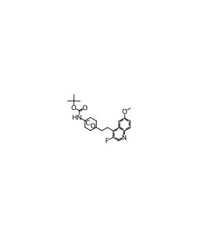 COc1ccc2ncc(F)c(CCC34CCC(NC(=O)OC(C)(C)C)(CC3)CO4)c2c1